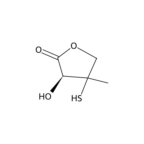 CC1(S)COC(=O)[C@@H]1O